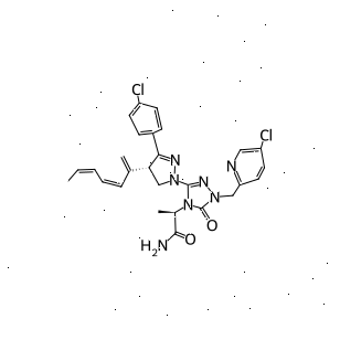 C=C(/C=C\C=C/C)[C@H]1CN(c2nn(Cc3ccc(Cl)cn3)c(=O)n2[C@H](C)C(N)=O)N=C1c1ccc(Cl)cc1